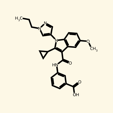 CCCn1cc(-n2c(C3CC3)c(C(=O)Nc3cccc(C(=O)O)c3)c3cc(OC)ccc32)cn1